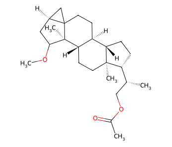 COC1C[C@H]2CC23CC[C@H]2[C@@H]4CC[C@H]([C@H](C)COC(C)=O)[C@@]4(C)CC[C@@H]2[C@@]13C